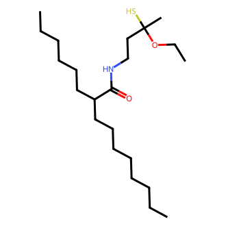 CCCCCCCCC(CCCCCC)C(=O)NCCC(C)(S)OCC